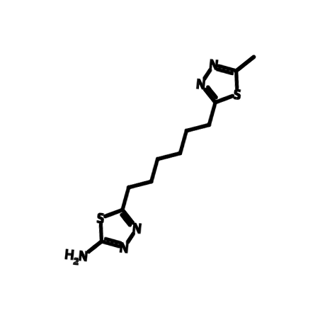 Cc1nnc(CCCCCCc2nnc(N)s2)s1